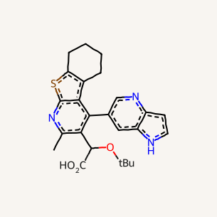 Cc1nc2sc3c(c2c(-c2cnc4cc[nH]c4c2)c1C(OC(C)(C)C)C(=O)O)CCCC3